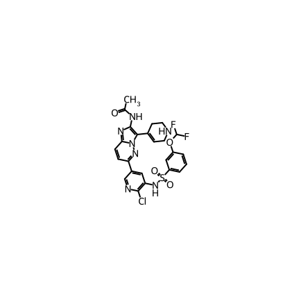 CC(=O)Nc1nc2ccc(-c3cnc(Cl)c(NS(=O)(=O)c4cccc(OC(F)F)c4)c3)nn2c1C1=CCNCC1